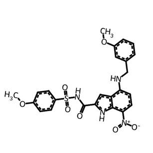 COc1ccc(S(=O)(=O)NC(=O)c2cc3c(NCc4cccc(OC)c4)ccc([N+](=O)[O-])c3[nH]2)cc1